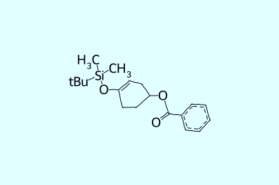 CC(C)(C)[Si](C)(C)OC1=CCC(OC(=O)c2ccccc2)CC1